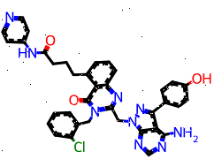 Nc1ncnc2c1c(-c1ccc(O)cc1)nn2Cc1nc2cccc(CCCC(=O)Nc3ccncc3)c2c(=O)n1Cc1ccccc1Cl